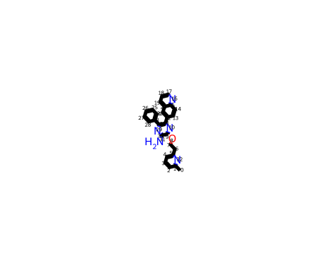 Cc1cccc(CCOc2nc(-c3ccc4ncccc4c3)c(-c3ccccc3)nc2N)n1